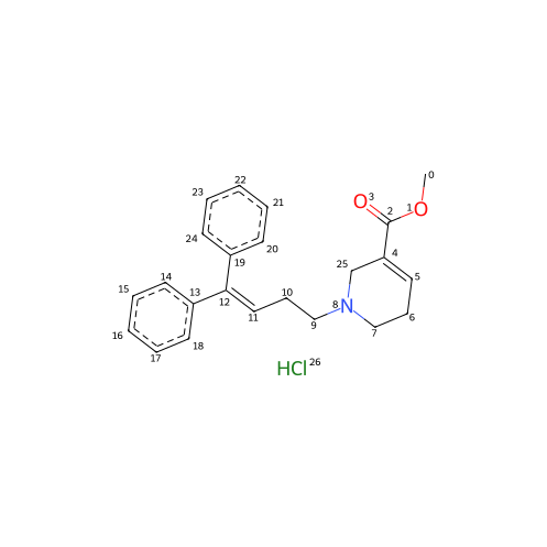 COC(=O)C1=CCCN(CCC=C(c2ccccc2)c2ccccc2)C1.Cl